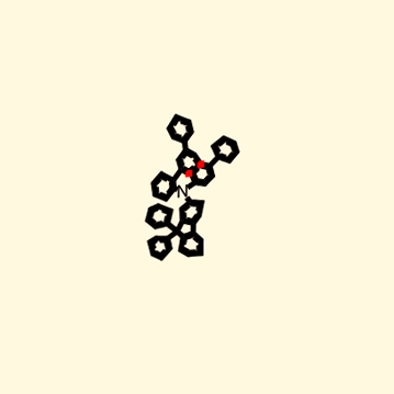 c1ccc(-c2ccc(N(c3ccc4c(c3)C(c3ccccc3)(c3ccccc3)c3ccccc3-4)c3ccccc3-c3cccc(-c4ccccc4)c3)cc2)cc1